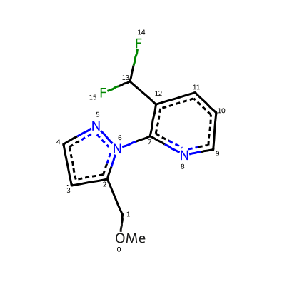 COCc1[c]cnn1-c1ncccc1C(F)F